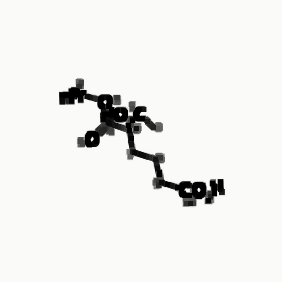 CC(=O)O.CCCOC(=O)CCCCC(=O)O